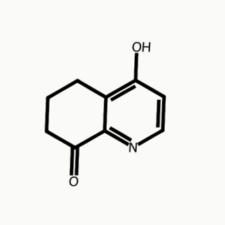 O=C1CCCc2c(O)ccnc21